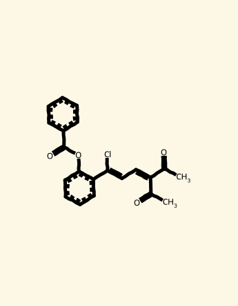 CC(=O)C(=CC=C(Cl)c1ccccc1OC(=O)c1ccccc1)C(C)=O